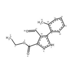 CCOC(=O)c1n[nH]c(-c2ncccc2C)c1C=O